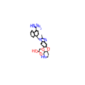 Cc1nc2cc(OC3CCNCC3)c(OCC(=O)O)cc2n1Cc1ccc(C(=N)N)c2ccccc12